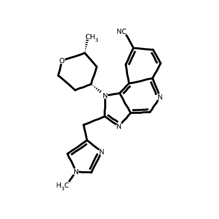 C[C@@H]1C[C@H](n2c(Cc3cn(C)cn3)nc3cnc4ccc(C#N)cc4c32)CCO1